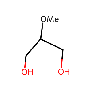 [CH2]OC(CO)CO